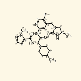 CC1CCC([C@H](NC(=O)c2ccnn2C)C(=O)Nc2cc(CN3C[C@@H](C(F)(F)F)NC3=O)c(F)cn2)CC1